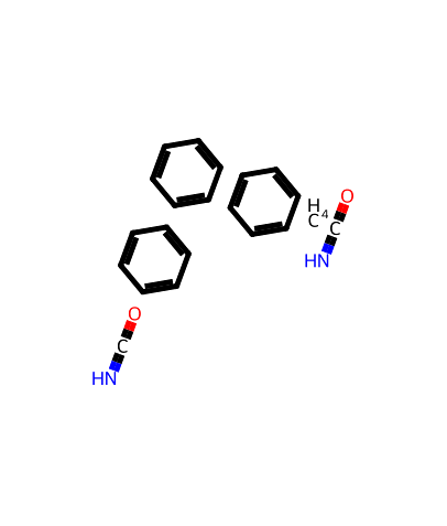 C.N=C=O.N=C=O.c1ccccc1.c1ccccc1.c1ccccc1